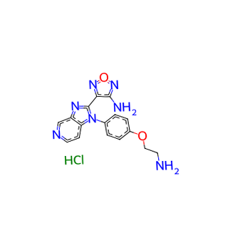 Cl.NCCOc1ccc(-n2c(-c3nonc3N)nc3cnccc32)cc1